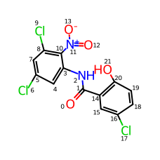 O=C(Nc1cc(Cl)cc(Cl)c1[N+](=O)[O-])c1cc(Cl)ccc1O